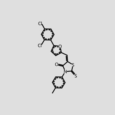 Cc1ccc(N2C(=O)/C(=C\c3ccc(-c4ccc(Cl)cc4Cl)o3)SC2=S)cc1